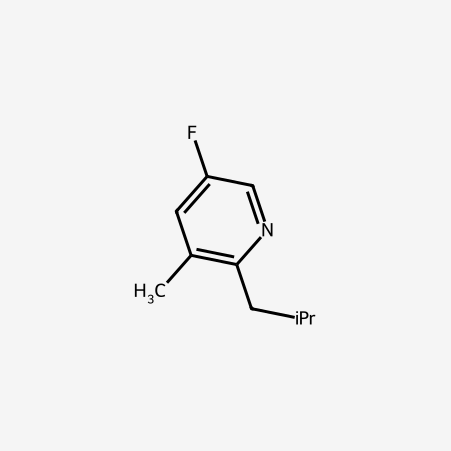 Cc1cc(F)cnc1CC(C)C